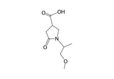 COCC(C)N1CC(C(=O)O)CC1=O